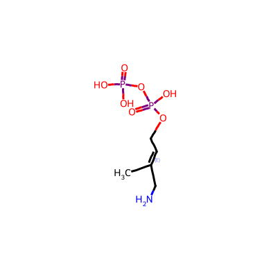 C/C(=C\COP(=O)(O)OP(=O)(O)O)CN